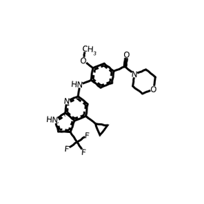 COc1cc(C(=O)N2CCOCC2)ccc1Nc1cc(C2CC2)c2c(C(F)(F)F)c[nH]c2n1